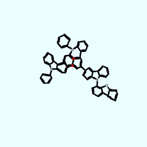 c1ccc(N(c2ccccc2)c2ccccc2-c2cc(-c3ccc4c(c3)c3ccccc3n4-c3ccccc3)cc(-c3ccc4c(c3)c3ccccc3n4-c3cccc4c3oc3ccccc34)c2)cc1